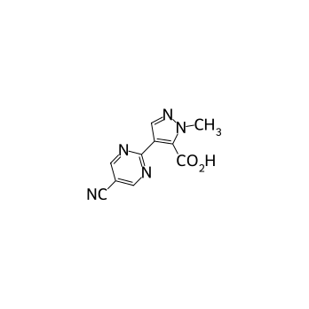 Cn1ncc(-c2ncc(C#N)cn2)c1C(=O)O